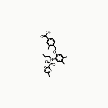 CCCN(c1cc(C)c(C)cc1OCc1ccc(C(=O)O)cc1C)S(=O)(=O)c1nc(C)cs1